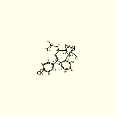 CC(=O)CC1C=C(c2ccc(Cl)cc2)c2ccccc2-n2c(C)nnc21